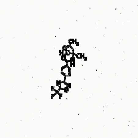 CC(=O)CC(C)(C)NC(=O)c1ccc(-c2noc(C(F)(F)F)n2)cc1